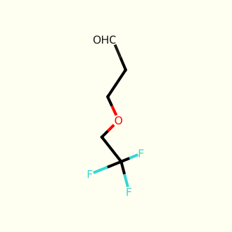 O=CCCOCC(F)(F)F